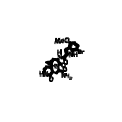 COc1ccc(Br)c2[nH]c(C(=O)NC(CC3CC3)C(=O)NC(C[C@@H]3CCCNC3=O)C(N)=O)cc12